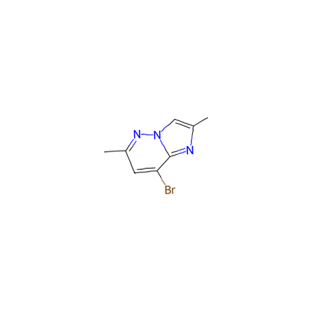 Cc1cn2nc(C)cc(Br)c2n1